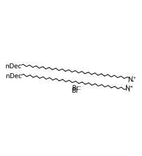 CCCCCCCCCCCCCCCCCCCCCCCCCCCCCCCCCCCCCCCCCCC[N+](C)(C)C.CCCCCCCCCCCCCCCCCCCCCCCCCCCCCCCCCCCCCCCCCC[N+](C)(C)C.[Br-].[Br-]